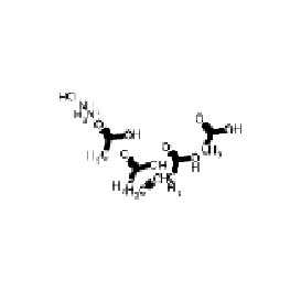 C=C.CC(=O)O.CC(=O)O.CC(=O)O.CC(=O)O.Cl.N.N